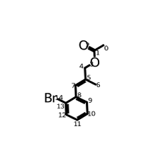 CC(=O)OC/C(C)=C/c1ccccc1Br